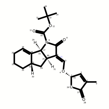 CC1=C[C@@H](O/C=C2/C(=O)N(C(=O)OC(C)(C)C)[C@@H]3C4=CCCC[C@H]4C[C@H]23)OC1=O